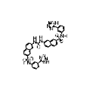 O=C(Nc1ccc2ccc(S(=O)(=O)Nc3cccc(-c4nnn[nH]4)c3)cc2c1)Nc1ccc2ccc(S(=O)(=O)Nc3cccc(-c4nnn[nH]4)c3)cc2c1